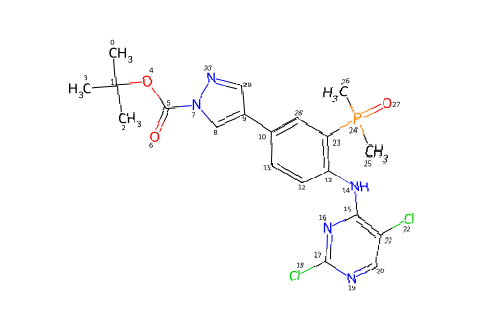 CC(C)(C)OC(=O)n1cc(-c2ccc(Nc3nc(Cl)ncc3Cl)c(P(C)(C)=O)c2)cn1